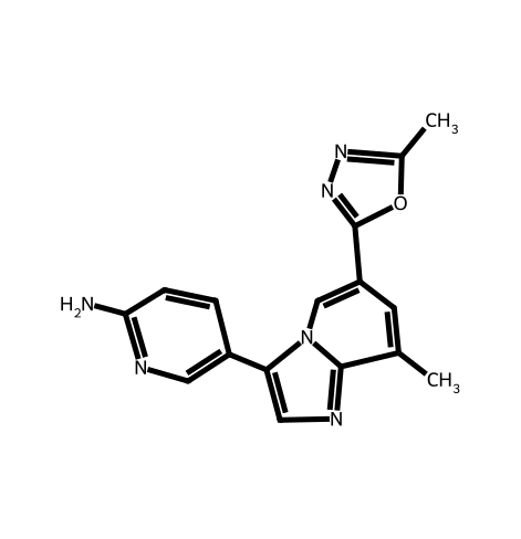 Cc1nnc(-c2cc(C)c3ncc(-c4ccc(N)nc4)n3c2)o1